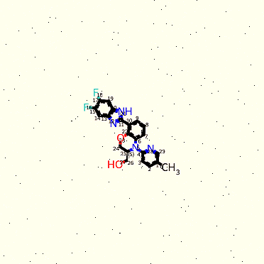 Cc1ccc(N2c3cccc(-c4nc5cc(F)c(F)cc5[nH]4)c3OC[C@@H]2CO)nc1